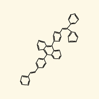 C(=Cc1ccc(-c2c3ccccc3c(-c3ccc(C=C(c4ccccc4)c4ccccc4)cc3)c3ccccc23)cc1)c1ccccc1